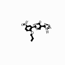 CCCOc1ccc([N+](=O)[O-])cc1-c1ncc(-c2nnn[nH]2)c(=O)[nH]1